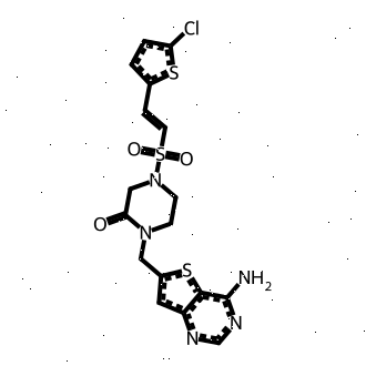 Nc1ncnc2cc(CN3CCN(S(=O)(=O)C=Cc4ccc(Cl)s4)CC3=O)sc12